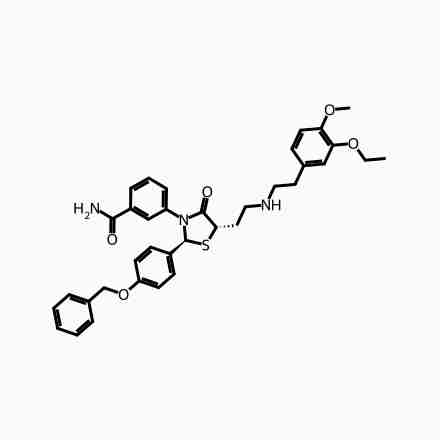 CCOc1cc(CCNCC[C@@H]2S[C@@H](c3ccc(OCc4ccccc4)cc3)N(c3cccc(C(N)=O)c3)C2=O)ccc1OC